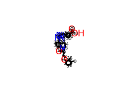 Cc1cccc(OCCCC(=O)N2CCCc3c(-c4nnn(Cc5cccc(C(=O)O)c5)n4)cccc32)c1C